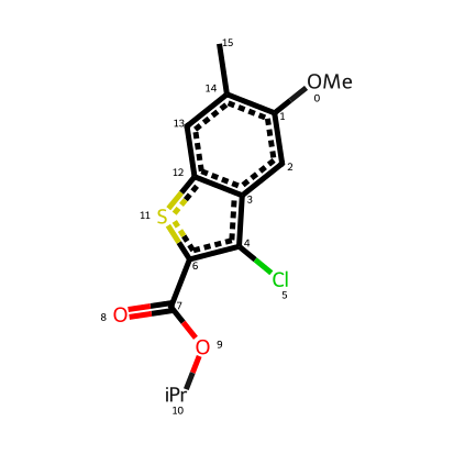 COc1cc2c(Cl)c(C(=O)OC(C)C)sc2cc1C